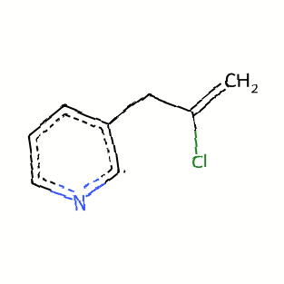 C=C(Cl)Cc1[c]nccc1